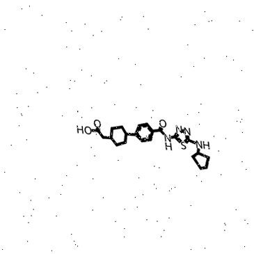 O=C(O)CC1CCC(c2ccc(C(=O)Nc3nnc(NC4CCCC4)s3)cc2)CC1